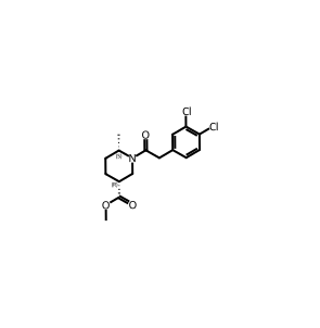 COC(=O)[C@@H]1CC[C@H](C)N(C(=O)Cc2ccc(Cl)c(Cl)c2)C1